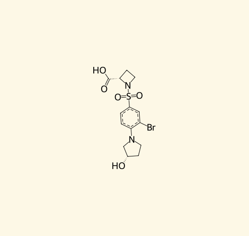 O=C(O)[C@@H]1CCN1S(=O)(=O)c1ccc(N2CC[C@H](O)C2)c(Br)c1